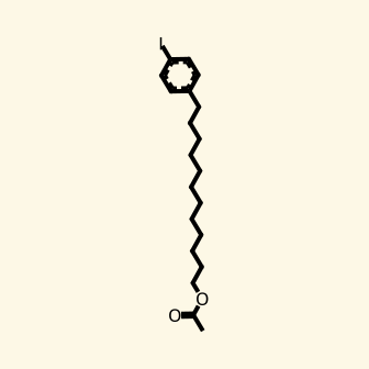 CC(=O)OCCCCCCCCCCCCc1ccc(I)cc1